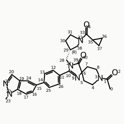 CC(=O)N1CCC2(CC1)N=C(c1ccc(-c3ccc4c(cnn4C)c3)cc1)N(C[C@@H]1CCN(C(=O)C3CC3)C1)C2=O